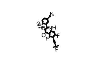 CC(C)(F)C#Cc1c(F)cc2[nH]c(-c3cc(C#N)ccc3S(C)(=O)=O)cc(=O)c2c1F